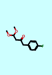 COC(CC(=O)Cc1ccc(F)cc1)OC